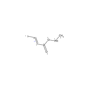 CPOC(=O)/C=C/I